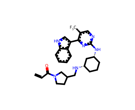 C=CC(=O)N1CCC(CN[C@H]2CCC[C@@H](Nc3ncc(C(F)(F)F)c(-c4c[nH]c5ccccc45)n3)C2)C1